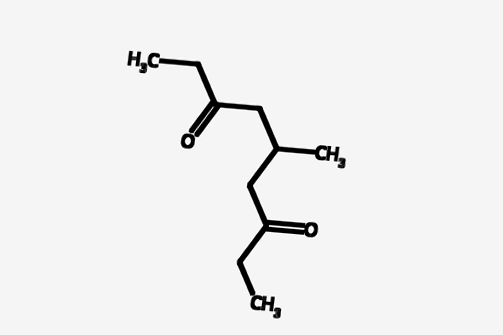 CCC(=O)CC(C)CC(=O)CC